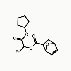 CCC(OC(=O)C1CC2C=CC1O2)C(=O)OC1CCCC1